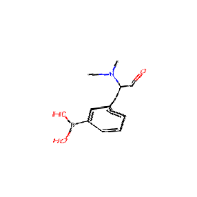 CN(C)C(C=O)c1cccc(B(O)O)c1